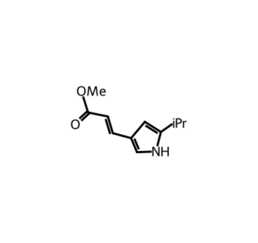 COC(=O)C=Cc1c[nH]c(C(C)C)c1